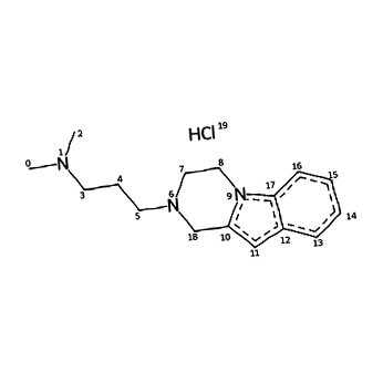 CN(C)CCCN1CCn2c(cc3ccccc32)C1.Cl